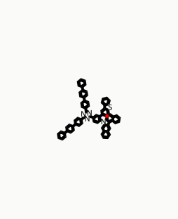 c1ccc(-c2ccc(-c3ccc(-c4nc(-c5ccc(-c6ccc(-c7ccccc7)cc6)cc5)nc(-c5ccc(-n6c7cc8ccccc8cc7c7c8ccccc8ccc76)c(-c6ccc7sc8ccccc8c7c6)c5)n4)cc3)cc2)cc1